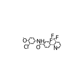 COc1ccc(NC(=O)c2ccc(-c3ncccc3C(F)(F)F)cc2)cc1Cl